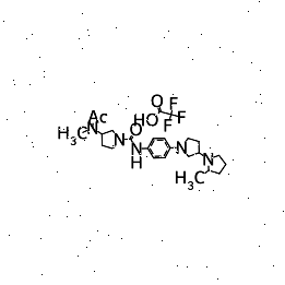 CC(=O)N(C)C1CCN(C(=O)Nc2ccc(N3CCC(N4CCCC4C)C3)cc2)C1.O=C(O)C(F)(F)F